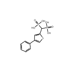 O=P(O)(O)C(c1cc(-c2ccccc2)cs1)P(=O)(O)O